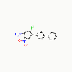 Nc1cc(Cl)c(-c2ccc(-c3ccccc3)cc2)cc1[N+](=O)[O-]